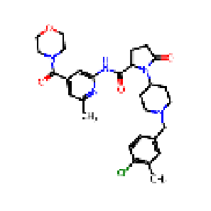 Cc1cc(C(=O)N2CCOCC2)cc(NC(=O)C2CCC(=O)N2C2CCN(Cc3ccc(Cl)c(C)c3)CC2)n1